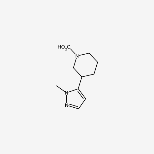 Cn1nccc1C1CCCN(C(=O)O)C1